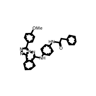 COc1ccc(-c2nnc3c4ccccc4c(Nc4ccc(NC(=O)Cc5ccccc5)cc4)nn23)cc1